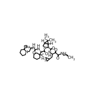 C=CCNC(=O)C(=O)C(CC1CC1)NC(=O)[C@@H]1[C@@H]2[C@H](CN1C(=O)[C@@H](NC(=O)N[C@H](CN1CCCCC1=O)C(C)(C)C)C1(C)CCCCC1)C2(C)C